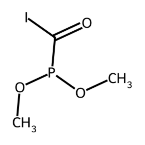 COP(OC)C(=O)I